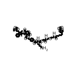 CC[C@@]1(OC(=O)OCc2ccc(NC(=O)[C@H](CCCCN)NC(=O)COCC(=O)NCCOCCNC(=O)CCC/C=C\c3cnc(S(C)(=O)=O)nc3)cc2)C(=O)OCc2c1cc1n(c2=O)Cc2c-1nc1ccccc1c2CCN(C(C)C)S(C)(=O)=O